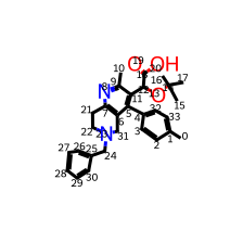 Cc1ccc(-c2c3c(nc(C)c2C(OC(C)(C)C)C(=O)O)CCN(Cc2ccccc2)C3)cc1